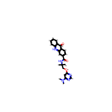 CN(C)c1cc(OCC(C)(C)NC(=O)c2ccc3c(=O)c4ccccc4[nH]c3c2)ncn1